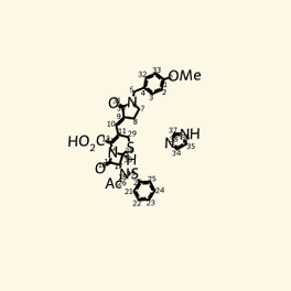 COc1ccc(CN2CCC(=CC3=C(C(=O)O)N4C(=O)[C@@H](N(Sc5ccccc5)C(C)=O)[C@H]4SC3)C2=O)cc1.c1c[nH]cn1